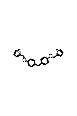 c1csc(COc2ccc(Cc3ccc(OCc4cccs4)cc3)cc2)c1